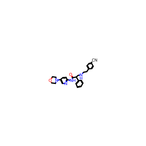 N#Cc1ccc(CCNCC(C(=O)Nc2ccc(N3CCOCC3)cn2)c2ccccc2)cc1